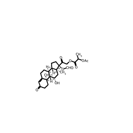 CC(=O)OC(C)C(=O)OCC(=O)[C@@]1(OC=O)CC[C@H]2[C@@H]3CCC4=CC(=O)CC[C@]4(C)[C@H]3[C@@H](O)C[C@@]21C